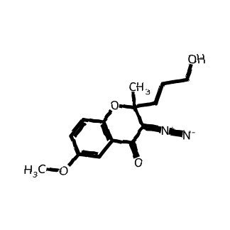 COc1ccc2c(c1)C(=O)C(=[N+]=[N-])C(C)(CCCO)O2